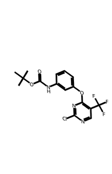 CC(C)(C)OC(=O)Nc1cccc(Oc2nc(Cl)ncc2C(F)(F)F)c1